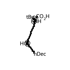 CCCCCCCCCCCCCCCCCCOP(=O)(O)OCCCCCCCCCCCCCCCC(=O)N[C@@H](CCC(=O)O)C(=O)OC(C)(C)C